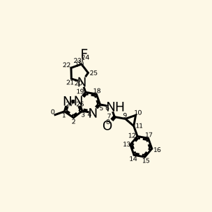 Cc1cc2nc(NC(=O)C3CC3c3ccccc3)cc(N3CC[C@H](F)C3)n2n1